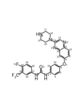 O=C(Nc1ccc(Oc2ccc3ncc(N4CCNCC4)nc3c2)cc1)Nc1ccc(F)c(C(F)(F)F)c1